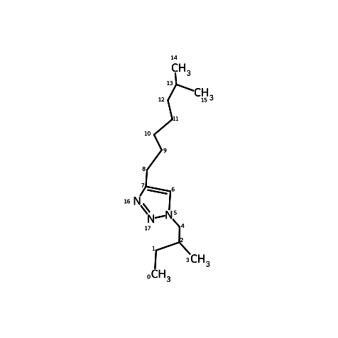 CCC(C)Cn1cc(CCCCCC(C)C)nn1